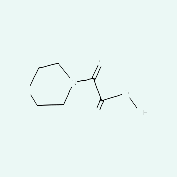 COC(=O)C(=O)N1CCOCC1